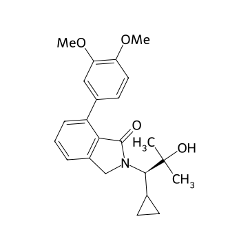 COc1ccc(-c2cccc3c2C(=O)N([C@H](C2CC2)C(C)(C)O)C3)cc1OC